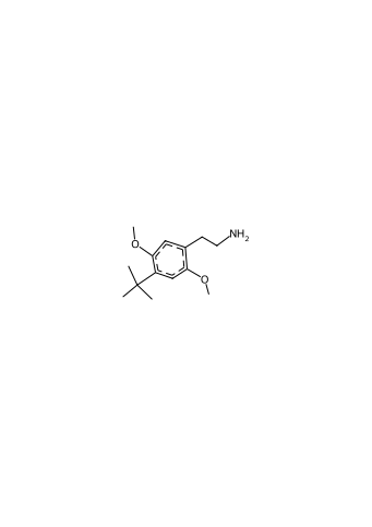 COc1cc(C(C)(C)C)c(OC)cc1CCN